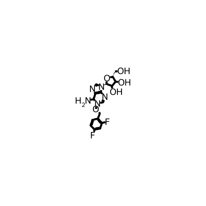 NC1c2ncn([C@@H]3O[C@H](CO)C(O)C3O)c2N=CN1OCc1ccc(F)cc1F